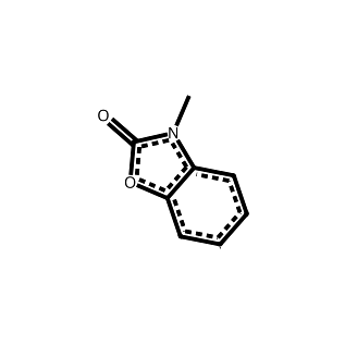 Cn1c(=O)oc2c[c]ccc21